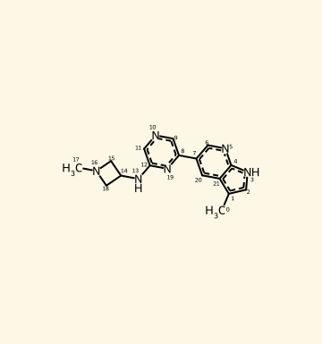 Cc1c[nH]c2ncc(-c3cncc(NC4CN(C)C4)n3)cc12